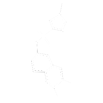 Cc1cc2cc(NS(=O)(=O)c3cn(C)cn3)ccc2nc1O